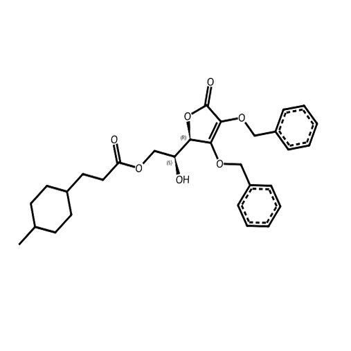 CC1CCC(CCC(=O)OC[C@H](O)[C@H]2OC(=O)C(OCc3ccccc3)=C2OCc2ccccc2)CC1